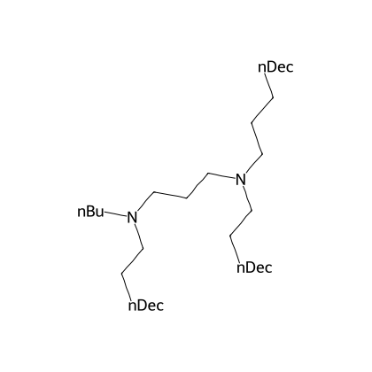 CCCCCCCCCCCCCN(CCCCCCCCCCCC)CCCN(CCCC)CCCCCCCCCCCC